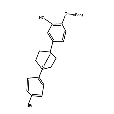 CCCCCOc1ccc(C23CCC(c4ccc(CCCC)cc4)(CC2)CC3)cc1C#N